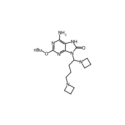 CCCCOc1nc(N)c2[nH]c(=O)n(C(CCCN3CCC3)N3CCC3)c2n1